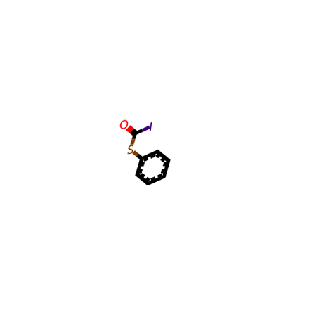 O=C(I)Sc1ccccc1